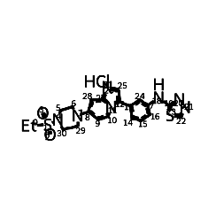 CCS(=O)(=O)N1CCN(c2ccn3c(-c4cccc(Nc5nncs5)c4)cnc3c2)CC1.Cl